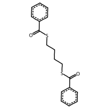 O=C(SCCCCSC(=O)c1ccccc1)c1ccccc1